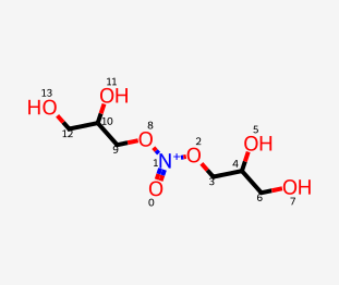 O=[N+](OCC(O)CO)OCC(O)CO